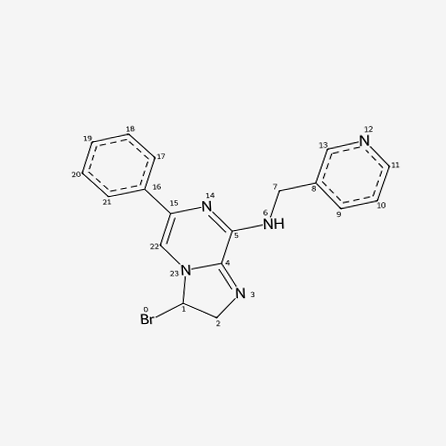 BrC1CN=C2C(NCc3cccnc3)=NC(c3ccccc3)=CN21